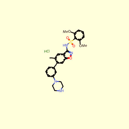 COc1cccc(OC)c1S(=O)(=O)Nc1noc2cc(-c3cccc(N4CCNCC4)c3)c(C)cc12.Cl